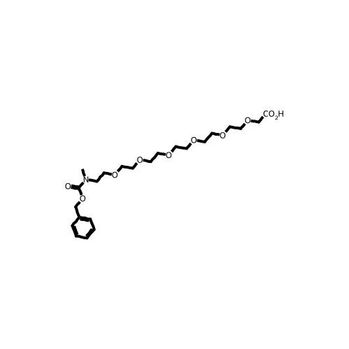 CN(CCOCCOCCOCCOCCOCCOCC(=O)O)C(=O)OCc1ccccc1